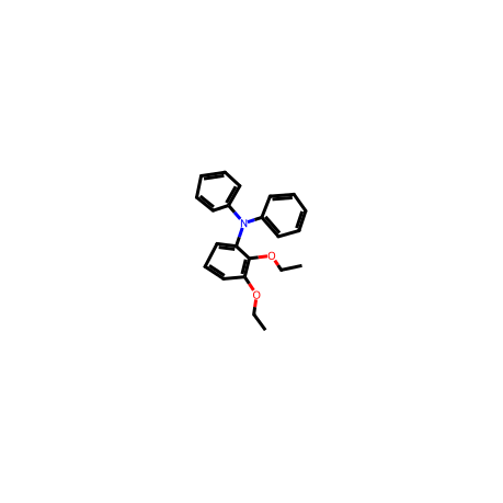 CCOc1cccc(N(c2ccccc2)c2ccccc2)c1OCC